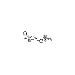 CCOC1(CN(C(C)=O)c2ccccc2)CCN(CCc2cccc(NS(N)(=O)=O)c2)CC1